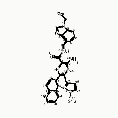 CC(C)Cn1cnc2c(CNC(=O)c3nc(-c4ccc5ncccc5c4)c(-c4ccn(C)n4)nc3N)cccc21